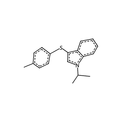 Cc1ccc(Sc2cn(C(C)C)c3ccccc23)cc1